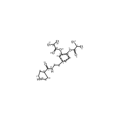 CCC(CC)C(=O)Oc1ccc(CCNC(=O)C2CCNCC2)cc1OC(=O)C(CC)CC